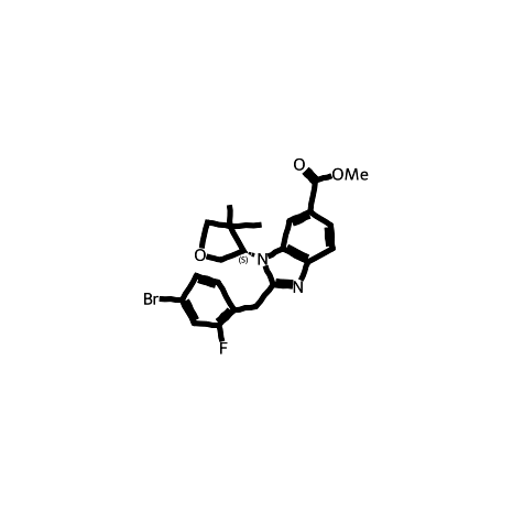 COC(=O)c1ccc2nc(Cc3ccc(Br)cc3F)n([C@@H]3COCC3(C)C)c2c1